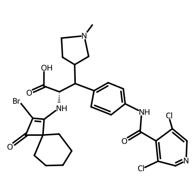 CN1CCC(C(c2ccc(NC(=O)c3c(Cl)cncc3Cl)cc2)[C@H](NC2=C(Br)C(=O)C23CCCCC3)C(=O)O)C1